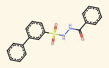 O=C(NNS(=O)(=O)c1cccc(-c2ccccc2)c1)c1ccccc1